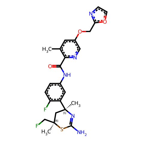 Cc1cc(OCc2ncco2)cnc1C(=O)Nc1ccc(F)c([C@]2(C)C[C@](C)(CF)SC(N)=N2)c1